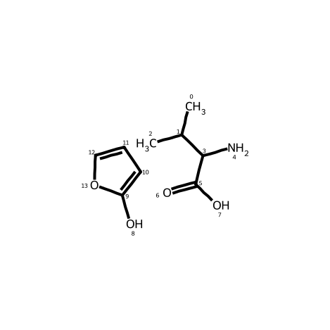 CC(C)C(N)C(=O)O.Oc1ccco1